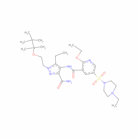 CCOc1ncc(S(=O)(=O)N2CCN(CC)CC2)cc1C(=O)Nc1c(C(N)=O)nn(CCO[Si](C)(C)C(C)(C)C)c1CC